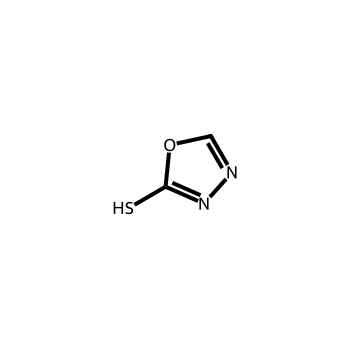 Sc1nnco1